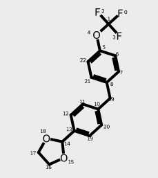 FC(F)(F)Oc1ccc([CH]c2ccc(C3OCCO3)cc2)cc1